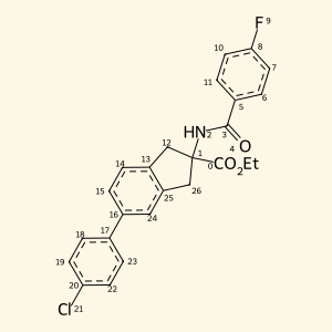 CCOC(=O)C1(NC(=O)c2ccc(F)cc2)Cc2ccc(-c3ccc(Cl)cc3)cc2C1